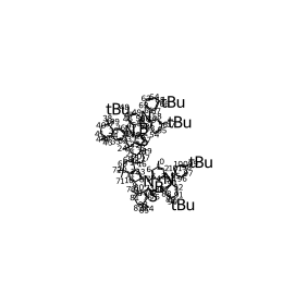 Cc1cc2c3c(c1)N(c1ccc4c(c1)C(C)(CCC1(C)CCC(C)(C)c5c1sc1c5N(c5ccc6c(c5)C(C)(C)CCC6(C)C)c5cc(C(C)(C)C)cc6c5B1c1ccc(C(C)(C)C)cc1N6c1cccc(C(C)(C)C)c1)CCC4(C)C)c1c(sc4c1C(C)(C)CCC4(C)C)B3c1cc(C(C)(C)C)ccc1N2c1ccc(C(C)(C)C)cc1